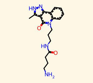 Cc1[nH]nc2c1c(=O)n(CCCNC(=O)CCCN)c1ccccc21